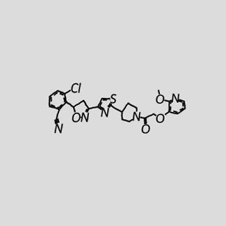 COc1ncccc1OCC(=O)N1CCC(c2nc(C3=NOC(c4c(Cl)cccc4C#N)C3)cs2)CC1